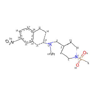 CCCN(CC1CCN(S(C)(=O)=O)CC1)C1CCc2ccc([N+](=O)[O-])cc2C1